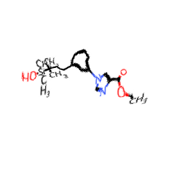 CCOC(=O)c1cn(-c2cccc(CCC(C)(C)[Si](C)(C)O)c2)cn1